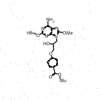 CCCCOc1nc(N)c2nc(OC)n(CC(O)COc3ccc(C(=O)OC(C)(C)C)cc3)c2n1